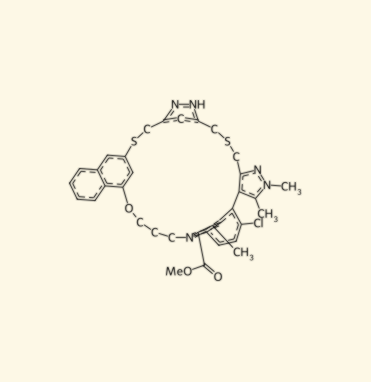 COC(=O)c1c(C)c2c3c(Cl)ccc2n1CCCOc1cc(cc2ccccc12)SCc1cc([nH]n1)CSCc1nn(C)c(C)c1-3